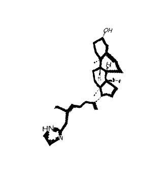 CC(CCCC(C)[C@H]1CC[C@H]2[C@@H]3CC=C4C[C@@H](O)CC[C@]4(C)[C@H]3CC[C@]12C)Cc1ncc[nH]1